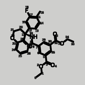 CCOC(=O)c1cc(C(=O)N[C@]2(c3ccc(C)c(F)c3)CCOc3cccnc32)cc(C(=O)OCC)c1